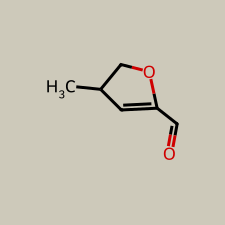 CC1C=C(C=O)OC1